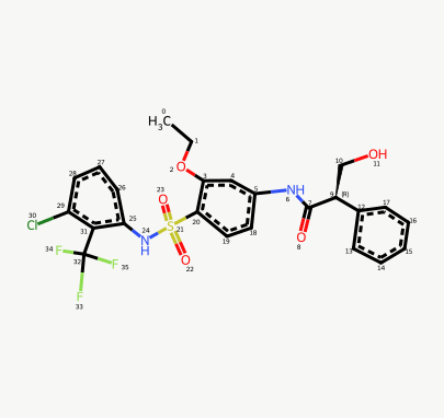 CCOc1cc(NC(=O)[C@@H](CO)c2ccccc2)ccc1S(=O)(=O)Nc1cccc(Cl)c1C(F)(F)F